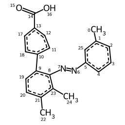 Cc1cccc(N=Nc2c(-c3ccc(C(=O)O)cc3)ccc(C)c2C)c1